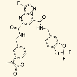 Cn1c(=O)oc2ccc(CNC(=O)c3cc(C(=O)NCc4ccc5c(c4)OC(F)(F)O5)n4ncc(F)c4n3)cc21